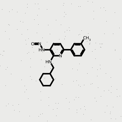 Cc1cccc(-c2ccc(NN=O)c(NCC3CCCCC3)n2)c1